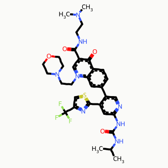 CC(C)NC(=O)Nc1cc(-c2nc(C(F)(F)F)cs2)c(-c2ccc3c(=O)c(C(=O)NCCN(C)C)cn(CCN4CCOCC4)c3c2)cn1